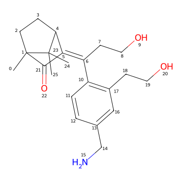 CC12CCC(C(=C(CCO)c3ccc(CN)cc3CCO)C1=O)C2(C)C